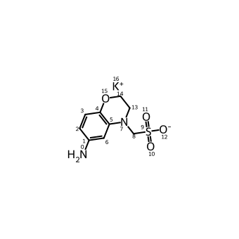 Nc1ccc2c(c1)N(CS(=O)(=O)[O-])CCO2.[K+]